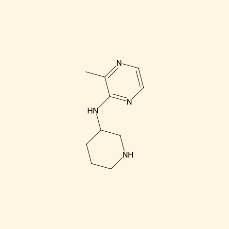 Cc1nccnc1NC1CCCNC1